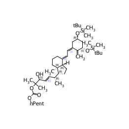 C=C1/C(=C\C=C2/CCC[C@]3(C)[C@@H]([C@H](C)/C=C/[C@H](O)C(C)(C)OC(=O)OCCCCC)CC[C@@H]23)C[C@@H](O[Si](C)(C)C(C)(C)C)C[C@@H]1O[Si](C)(C)C(C)(C)C